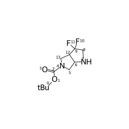 CC(C)(C)OC(=O)N1CC2NCC(F)(F)C2C1